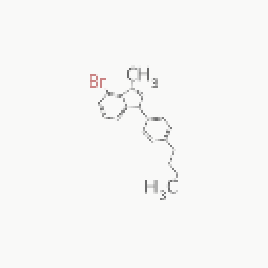 CCCCc1ccc(C2C=C(C)c3c(Br)cccc32)cc1